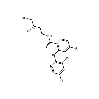 O=C(NOC[C@H](O)CO)c1ccc(F)cc1Nc1ncc(Cl)cc1Cl